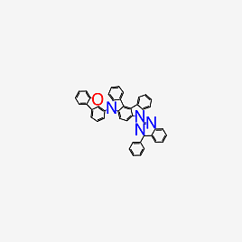 c1ccc(-c2nc(-n3c4ccccc4c4c5c6ccccc6n(-c6cccc7c6oc6ccccc67)c5ccc43)nc3ccccc23)cc1